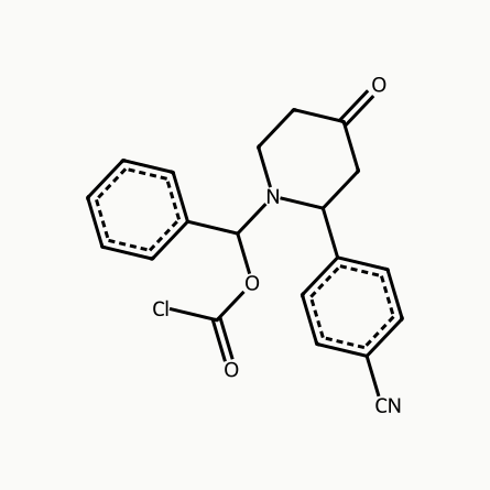 N#Cc1ccc(C2CC(=O)CCN2C(OC(=O)Cl)c2ccccc2)cc1